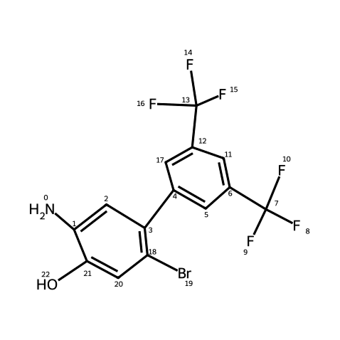 Nc1cc(-c2cc(C(F)(F)F)cc(C(F)(F)F)c2)c(Br)cc1O